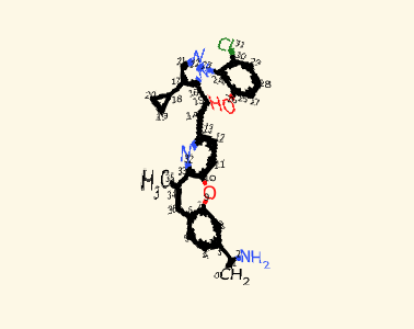 C=C(N)c1ccc2c(c1)Oc1ccc(CCc3c(C4CC4)cnn3-c3c(O)cccc3Cl)nc1C(C)=C2